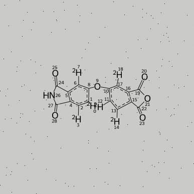 [2H]c1c([2H])c2c(c([2H])c1Oc1c([2H])c([2H])c3c(c1[2H])C(=O)OC3=O)C(=O)NC2=O